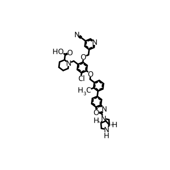 Cc1c(COc2cc(OCc3cncc(C#N)c3)c(CN3CCCCC3C(=O)O)cc2Cl)cccc1-c1ccc2oc(N3C[C@@H]4C[C@H]3CN4)nc2c1